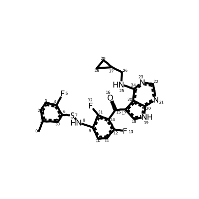 Cc1ccc(F)c(SNc2ccc(F)c(C(=O)c3c[nH]c4ncnc(NCC5CC5)c34)c2F)c1